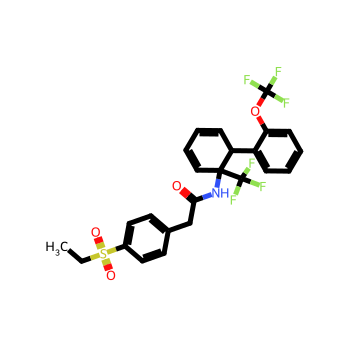 CCS(=O)(=O)c1ccc(CC(=O)NC2(C(F)(F)F)C=CC=CC2c2ccccc2OC(F)(F)F)cc1